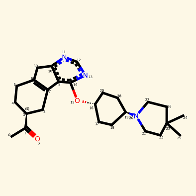 CC(=O)[C@H]1CCC2=C(C1)c1c(ncnc1O[C@H]1CC[C@H](N3CCC(C)(C)CC3)CC1)C2